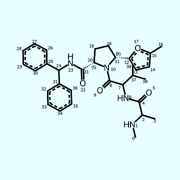 CNC(C)C(=O)NC(C(=O)N1[C@@H](c2ccc(C)o2)CC[C@H]1C(=O)NC(c1ccccc1)c1ccccc1)C(C)C